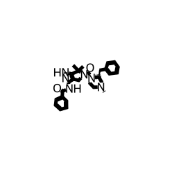 CN1CCN(C(=O)N2Cc3c(NC(=O)c4ccccc4)n[nH]c3C2(C)C)[C@@H](Cc2ccccc2)C1